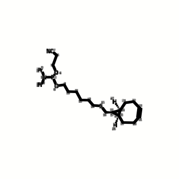 CC(C)N(C(C)C)P(OCCC#N)OCCCCCCSC[C@@H]1[C@@H]2CCC#CCC[C@@H]21